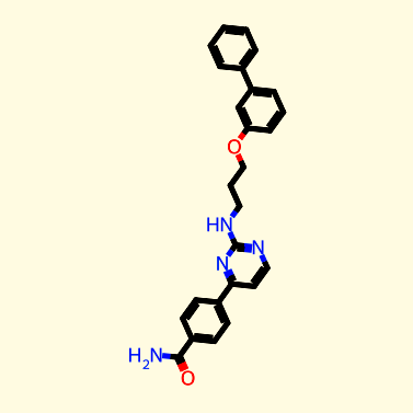 NC(=O)c1ccc(-c2ccnc(NCCCOc3cccc(-c4ccccc4)c3)n2)cc1